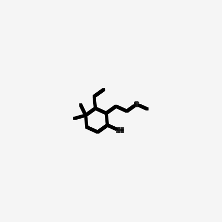 CCC1C(CCOC)C(S)CCC1(C)C